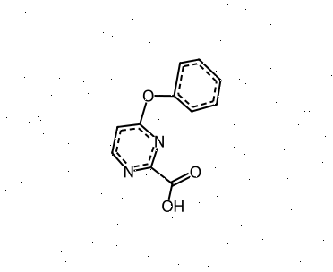 O=C(O)c1nccc(Oc2ccccc2)n1